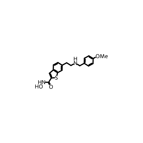 COc1ccc(CNCCc2ccc3cc(C(=O)NO)sc3c2)cc1